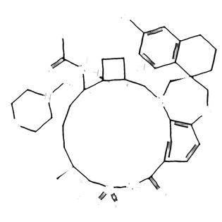 CC(=O)N[C@]1(CN2CCOCC2)CCC[C@H](C)[C@@H](C)S(=O)(=O)NC(=O)c2ccc3c(c2)N(C[C@@H]2CC[C@H]21)C[C@@]1(CCCc2cc(Cl)ccc21)CO3